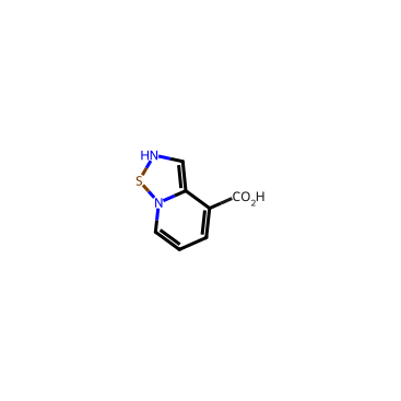 O=C(O)C1=CC=CN2SNC=C12